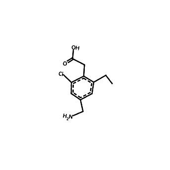 CCc1cc(CN)cc(Cl)c1CC(=O)O